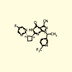 CC(c1ccc(C(F)(F)F)nc1)n1nc(C#N)c2c(=O)[nH]c([C@H]3CC[C@@H]3c3ncc(F)cn3)nc21